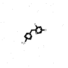 Cc1ccc(Cc2ncc(Cl)cc2F)cc1